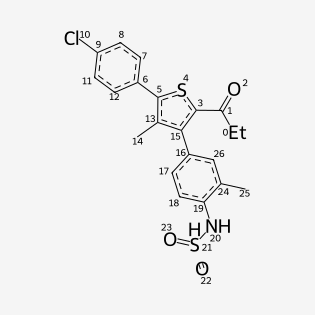 CCC(=O)c1sc(-c2ccc(Cl)cc2)c(C)c1-c1ccc(N[SH](=O)=O)c(C)c1